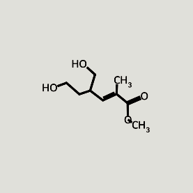 COC(=O)C(C)=CC(CO)CCO